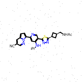 CC(=O)NC[C@H]1C[C@@H](c2nnc(-c3cnc(-c4ccc5cc(C#N)cnn45)cc3NC(C)C)s2)C1